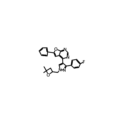 CC1(C)CC(Cn2cc(-c3ncnc4oc(-c5ccccc5)cc34)c(-c3ccc(F)cc3)n2)O1